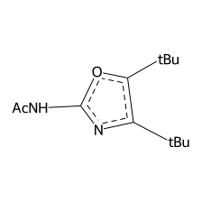 CC(=O)Nc1nc(C(C)(C)C)c(C(C)(C)C)o1